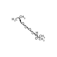 CCC(C)C#CCOCCOCCOCCOCCNC(=O)C(C)C